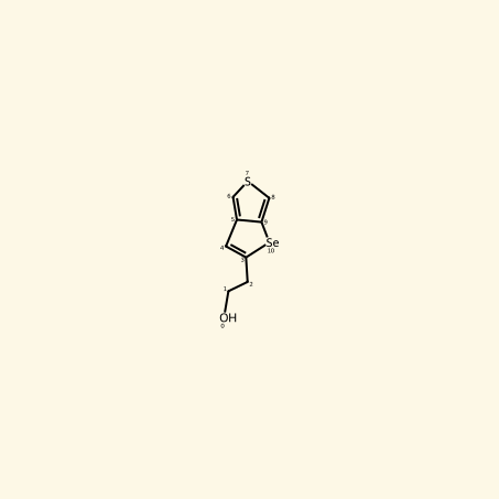 OCCc1cc2cscc2[se]1